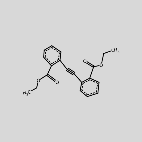 CCOC(=O)c1ccccc1C#Cc1ccccc1C(=O)OCC